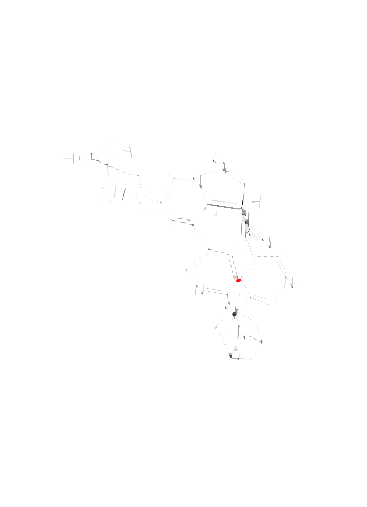 C#Cc1cncc(CN2C3CC2CN(c2ccc(-c4cc(OCC(C)(C)O)cn5ncc(C#N)c45)cn2)C3)c1